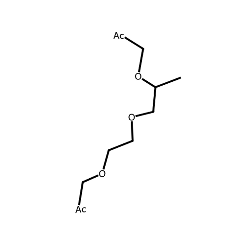 CC(=O)COCCOCC(C)OCC(C)=O